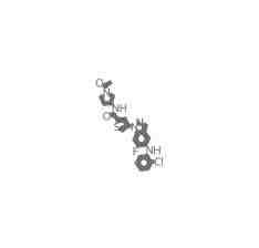 CC(=O)N1CC[C@H](NC(=O)c2cc(-n3ncc4cc(Nc5ccccc5Cl)c(F)cc43)cs2)C1